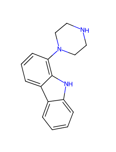 c1ccc2c(c1)[nH]c1c(N3CCNCC3)cccc12